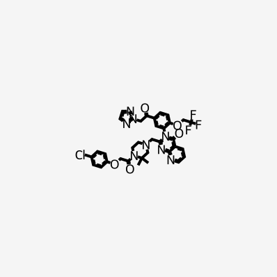 CC1(C)CN(Cc2nc3ncccc3c(=O)n2-c2cc(C(=O)Cn3nccn3)ccc2OCC(F)(F)F)CCN1C(=O)COc1ccc(Cl)cc1